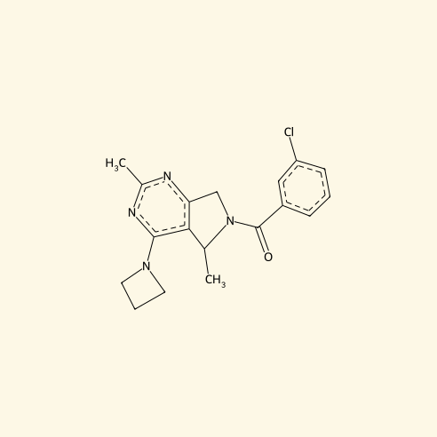 Cc1nc2c(c(N3CCC3)n1)C(C)N(C(=O)c1cccc(Cl)c1)C2